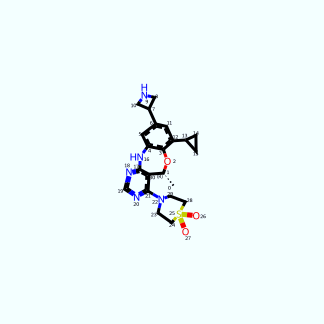 C[C@H]1Oc2c(cc(C3CNC3)cc2C2CC2)Nc2ncnc(N3CCS(=O)(=O)CC3)c21